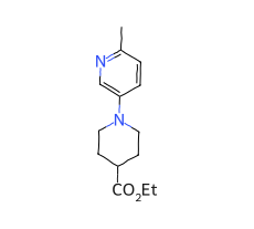 CCOC(=O)C1CCN(c2ccc(C)nc2)CC1